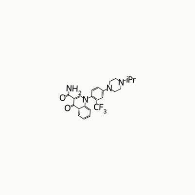 CC(C)N1CCN(c2ccc(-n3cc(C(N)=O)c(=O)c4ccccc43)c(C(F)(F)F)c2)CC1